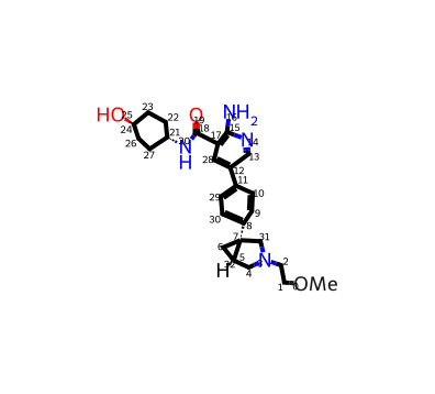 COCCN1C[C@H]2C[C@@]2(c2ccc(-c3cnc(N)c(C(=O)N[C@H]4CC[C@H](O)CC4)c3)cc2)C1